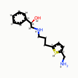 NCc1ccc(CCCNC[C@H](O)c2ccccc2)s1